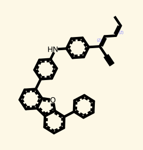 C#C/C(=C\C=C/C)c1ccc(Nc2ccc(-c3cccc4c3oc3c(-c5ccccc5)cccc34)cc2)cc1